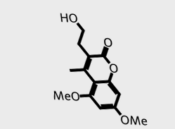 COc1cc(OC)c2c(C)c(CCO)c(=O)oc2c1